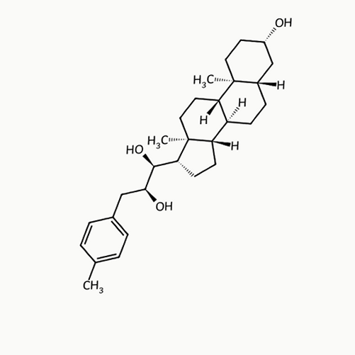 Cc1ccc(C[C@H](O)[C@@H](O)[C@H]2CC[C@H]3[C@@H]4CC[C@H]5C[C@@H](O)CC[C@]5(C)[C@H]4CC[C@]23C)cc1